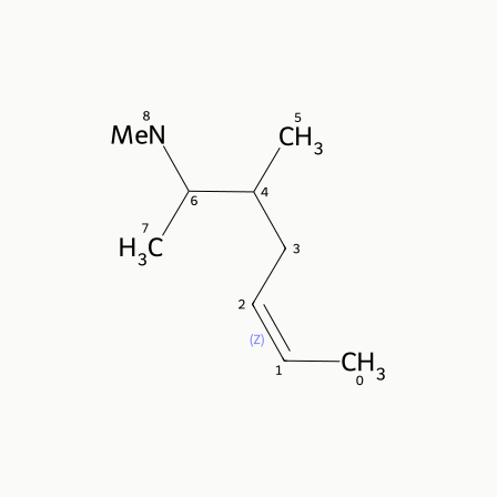 C/C=C\CC(C)C(C)NC